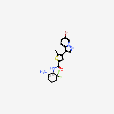 Cc1sc(C(=O)N[C@@H]2[C@@H](N)CCCC2(F)F)cc1-c1cnn2cc(Br)ccc12